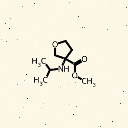 COC(=O)C1(NC(C)C)CCOC1